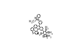 Bc1c(B)c(B)c(-c2ccc3c(-c4cccc(-n5c(CC)nc6ccccc65)c4)c4ccccc4c(-c4cccc5sc6ccccc6c45)c3c2)c(B)c1B